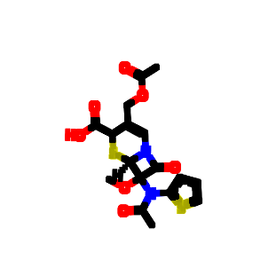 COC1(N(C(C)=O)c2cccs2)C(=O)N2C=C(COC(C)=O)C(C(=O)O)S[C@@H]21